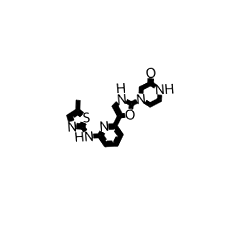 Cc1cnc(Nc2cccc(C3=CNC(N4CCNC(=O)C4)O3)n2)s1